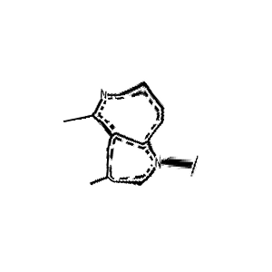 Cc1cn(I)c2ccnc(C)c12